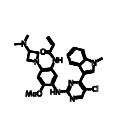 C=CC(=O)Nc1cc(Nc2ncc(Cl)c(-c3cn(C)c4ccccc34)n2)c(OC)cc1N1CC(N(C)C)C1